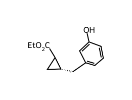 CCOC(=O)C1C[C@H]1Cc1cccc(O)c1